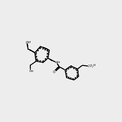 O=C(O)Cc1cccc(C(=O)Nc2ccc(CO)c(CO)c2)c1